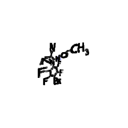 CCO/C=N/c1c(C#N)cnn1-c1c(F)c(F)c(Br)c(F)c1F